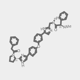 CCCN(Cc1ncc(-c2cccc(Oc3ccc(-c4c[nH]c([C@@H]5CCCN5C(=O)Cc5ccccc5)n4)cc3)c2)[nH]1)C(=O)[C@H](NC)c1ccccc1